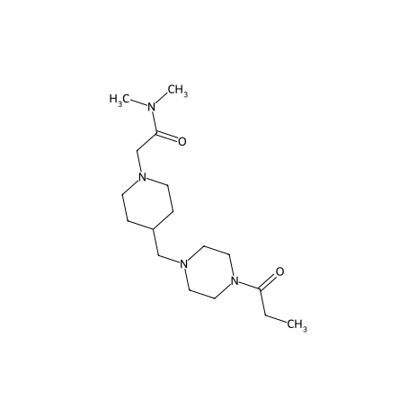 CCC(=O)N1CCN(CC2CCN(CC(=O)N(C)C)CC2)CC1